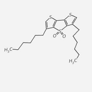 CCCCCCc1csc2c1S(=O)(=O)c1c(CCCCCC)csc1-2